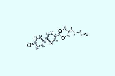 C=CCCCC1COC(c2ccc(-c3ccc(Cl)cc3)nc2)OC1